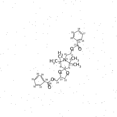 CC1(C)CC2(CC(C)(C)N1CCOC(=O)c1ccccc1)OCC(COC(=O)c1ccccc1)O2